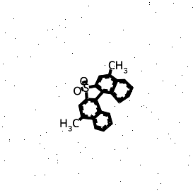 Cc1cc2c(c3ccccc13)-c1c(cc(C)c3ccccc13)S2(=O)=O